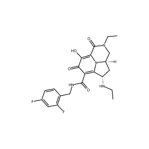 CCN[C@H]1C[C@@H]2CN(CC)C(=O)c3c(O)c(=O)c(C(=O)NCc4ccc(F)cc4F)c1n32